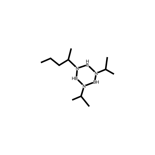 CCCC(C)N1BN(C(C)C)BN(C(C)C)B1